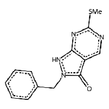 CSc1ncc2c(=O)n(Cc3ccccc3)[nH]c2n1